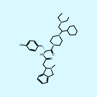 CCN(CC)CC(C1CCCCC1)N1CCN(C(=O)[C@@H](Cc2ccc(Cl)cc2)NC(=O)CC2c3ccccc3CN2C)CC1